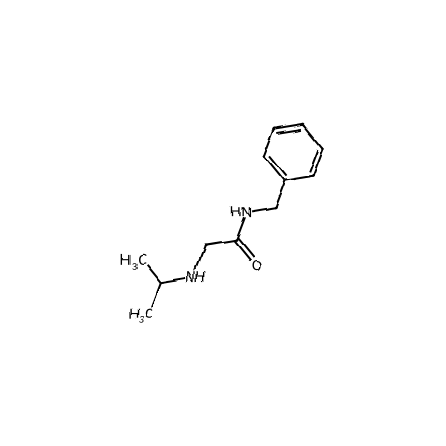 CC(C)NCC(=O)NCc1ccccc1